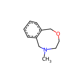 CN1CCOCc2ccccc2C1